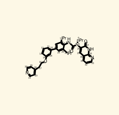 CCCN(C(=O)Nc1c(C(C)C)cc(-c2cccc(OCCc3ccncc3)c2)cc1C(C)C)c1cc2cccnc2[nH]c1=O